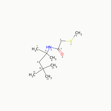 CSCC(=O)NC(C)(C)CC(C)(C)C